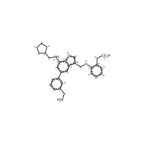 NCc1cccc(-c2cc(NCC3CCCC3)c3occ(COc4ccccc4CC(=O)O)c3c2)c1